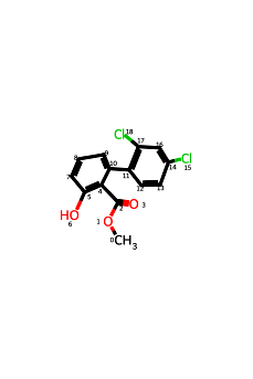 COC(=O)c1c(O)cccc1-c1ccc(Cl)cc1Cl